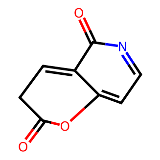 O=C1CC=C2C(=O)N=CC=C2O1